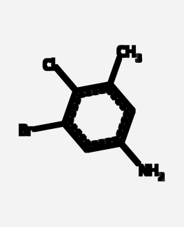 Cc1cc(N)cc(Br)c1Cl